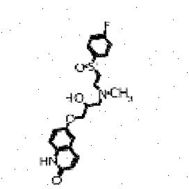 CN(CC[S+]([O-])c1ccc(F)cc1)CC(O)COc1ccc2[nH]c(=O)ccc2c1